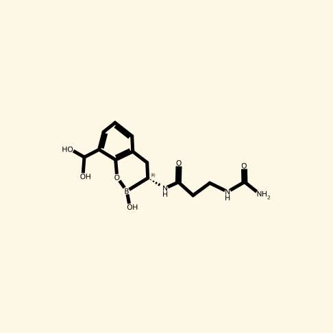 NC(=O)NCCC(=O)N[C@H]1Cc2cccc(C(O)O)c2OB1O